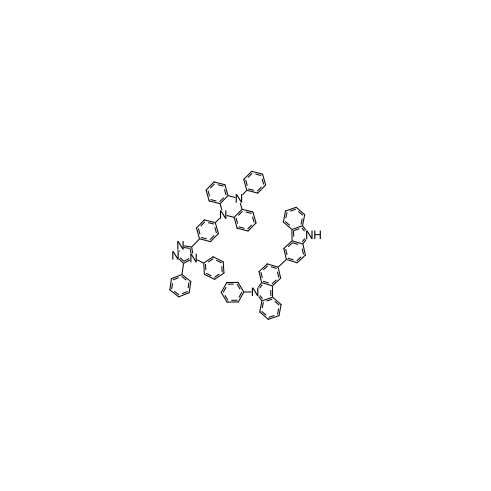 c1ccc(-c2nnc(-c3ccc(N4c5ccccc5N(c5ccccc5)c5ccccc54)cc3)n2-c2ccccc2)cc1.c1ccc(-n2c3ccccc3c3cc(-c4ccc5[nH]c6ccccc6c5c4)ccc32)cc1